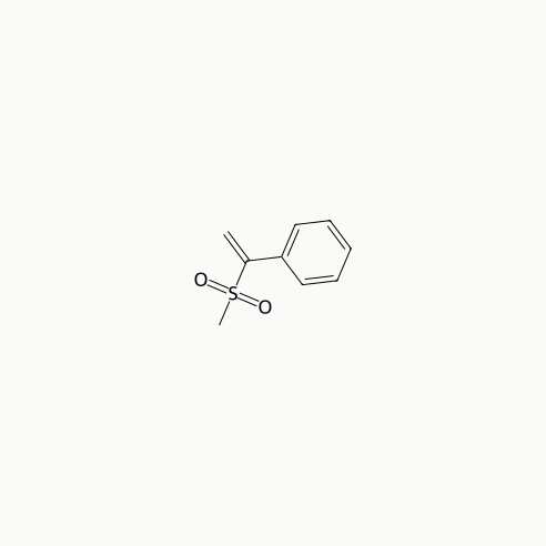 C=C(c1ccccc1)S(C)(=O)=O